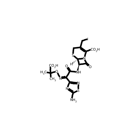 CC(C)(O/N=C(\C(=O)N[C@@H]1C(=O)N2C(C(=O)O)=C(CI)CS[C@H]12)c1nsc(N)n1)C(=O)O